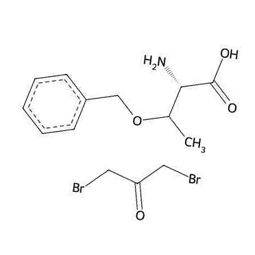 CC(OCc1ccccc1)[C@H](N)C(=O)O.O=C(CBr)CBr